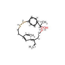 C=C/C1=C\C=C(/C=C)CCSSc2ccc(cc2)C(C)(O)OCC1